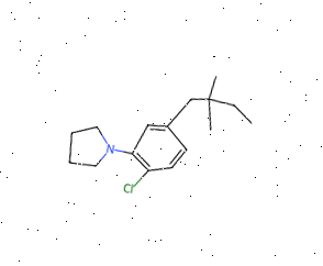 CCC(C)(C)Cc1ccc(Cl)c(N2CCCC2)c1